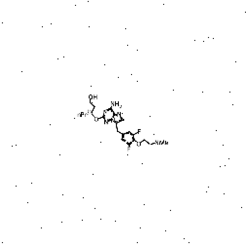 CCC[C@H](CCO)Oc1nc(N)c2ncc(Cc3cc(F)c(OCCNC)c(F)c3)n2n1